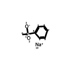 CP(=O)([O-])c1ccccc1.[Na+]